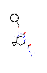 O=CNNC(=O)[C@@H]1CC2(CC2)[C@H]2CN1C(=O)N2OCc1ccccc1